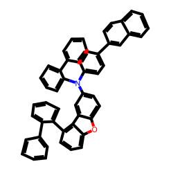 c1ccc(-c2ccccc2-c2cccc3oc4ccc(N(c5ccc(-c6ccc7ccccc7c6)cc5)c5ccccc5-c5ccccc5)cc4c23)cc1